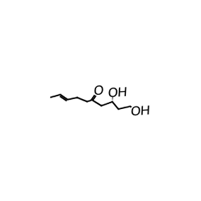 C/C=C/CCC(=O)C[C@H](O)CCO